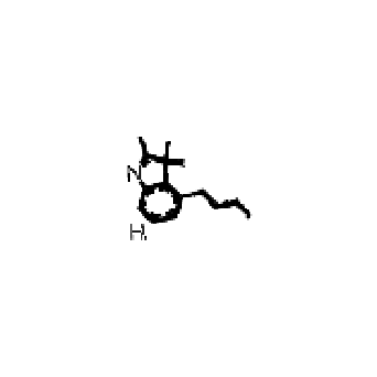 CCCCc1cccc2c1C(C)(C)C(C)=N2.I